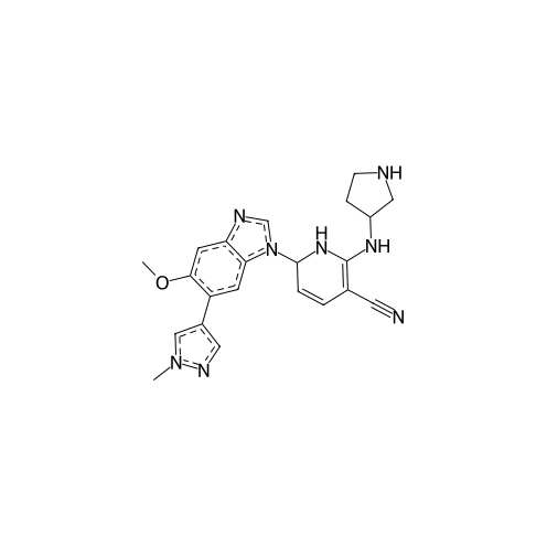 COc1cc2ncn(C3C=CC(C#N)=C(NC4CCNC4)N3)c2cc1-c1cnn(C)c1